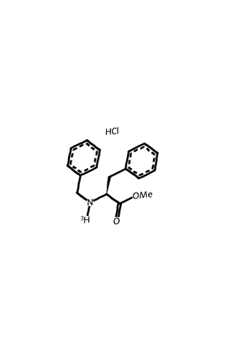 Cl.[3H]N(Cc1ccccc1)[C@@H](Cc1ccccc1)C(=O)OC